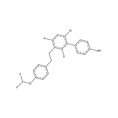 CCCc1ccc(-c2c([O])cc(F)c(CCc3ccc(OC(F)F)cc3)c2F)cc1